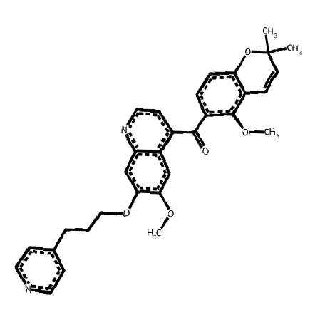 COc1cc2c(C(=O)c3ccc4c(c3OC)C=CC(C)(C)O4)ccnc2cc1OCCCc1ccncc1